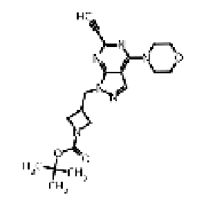 C#Cc1nc(N2CCOCC2)c2cnn(CC3CN(C(=O)OC(C)(C)C)C3)c2n1